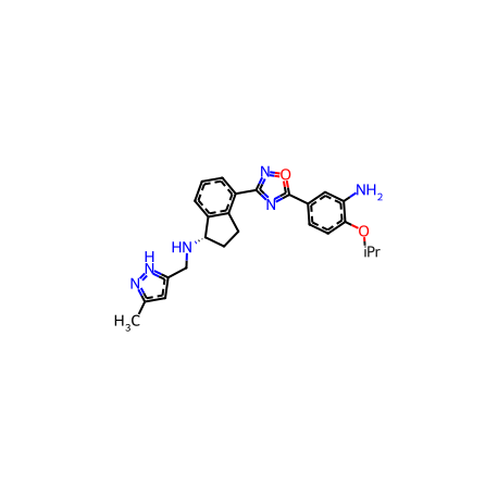 Cc1cc(CN[C@H]2CCc3c(-c4noc(-c5ccc(OC(C)C)c(N)c5)n4)cccc32)[nH]n1